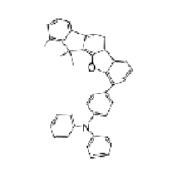 Cc1cccc2c1C(C)(C)c1c-2ccc2c1oc1c(-c3ccc(N(c4ccccc4)c4ccccc4)cc3)cccc12